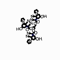 N#CC1=C(N2CCCC2)CC(O)C/C1=C(/C#N)C(=O)OCC(COC(=O)/C(C#N)=C1\CC(O)CC(N2CCCC2)=C1C#N)COC(=O)/C(C#N)=C1\CC(O)CC(N2CCCC2)=C1C#N